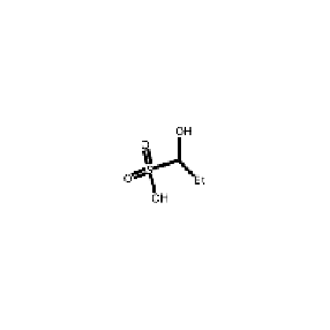 CCC(O)S(=O)(=O)O